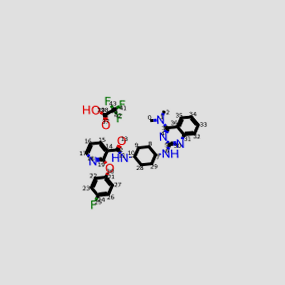 CN(C)c1nc(N[C@H]2CC[C@@H](NC(=O)c3cccnc3Oc3ccc(F)cc3)CC2)nc2ccccc12.O=C(O)C(F)(F)F